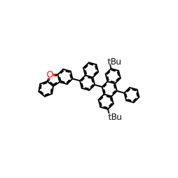 CC(C)(C)c1ccc2c(-c3ccc(-c4ccc5oc6ccccc6c5c4)c4ccccc34)c3cc(C(C)(C)C)ccc3c(-c3ccccc3)c2c1